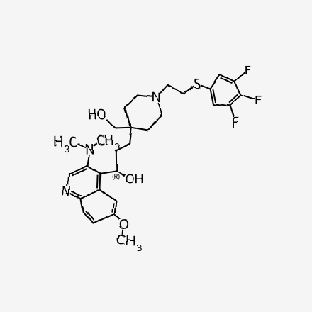 COc1ccc2ncc(N(C)C)c([C@H](O)CCC3(CO)CCN(CCSc4cc(F)c(F)c(F)c4)CC3)c2c1